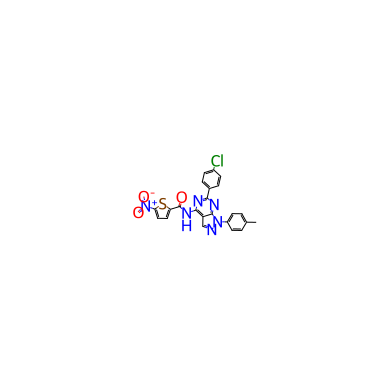 Cc1ccc(-n2ncc3c(NC(=O)c4ccc([N+](=O)[O-])s4)nc(-c4ccc(Cl)cc4)nc32)cc1